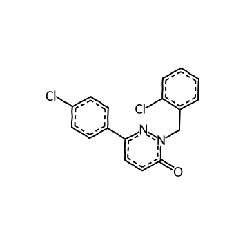 O=c1ccc(-c2ccc(Cl)cc2)nn1Cc1ccccc1Cl